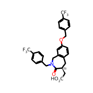 O=C(O)C[C@@H]1Cc2ccc(OCc3ccc(C(F)(F)F)cc3)cc2CN(Cc2ccc(C(F)(F)F)cc2)C1=O